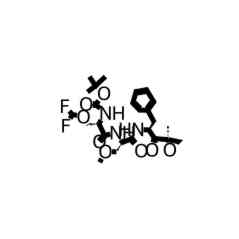 COC[C@H](NC(=O)[C@H](COC(F)F)NC(=O)OC(C)(C)C)C(=O)N[C@@H](Cc1ccccc1)C(=O)[C@@]1(C)CO1